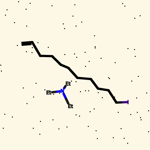 C=CCCCCCCCCCI.CCN(CC)CC